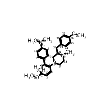 C=C(/C=C\C(=C(/N)c1ccc(N(C)C)cc1)N1CCN(C)C(Cc2ccc(OC)cc2)C1)OC